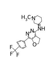 CN1CCC[C@@H](Nc2nnc(-c3ccc(C(F)(F)F)cc3)c3c2CCO3)C1